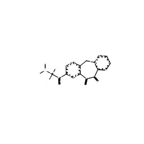 CN(C)C(C)(C)C(=O)c1ccc2c(c1)C(=O)C(=O)c1ccccc1C2